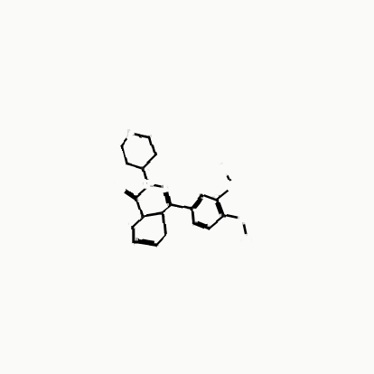 COc1ccc(C2=NN(C3CCNCC3)C(=O)C3CC=CCC23)cc1OC.Cl